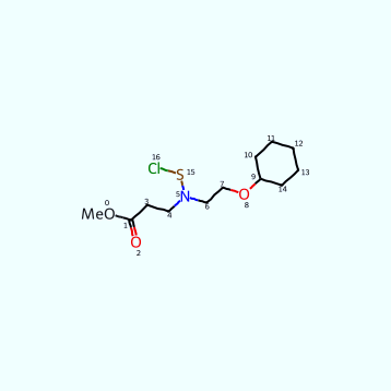 COC(=O)CCN(CCOC1CCCCC1)SCl